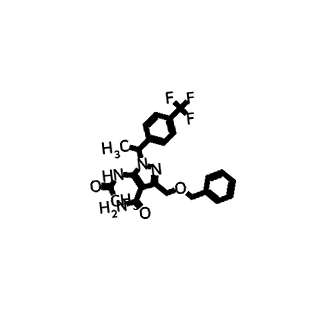 CC(=O)Nc1c(C(N)=O)c(COCc2ccccc2)nn1C(C)c1ccc(C(F)(F)F)cc1